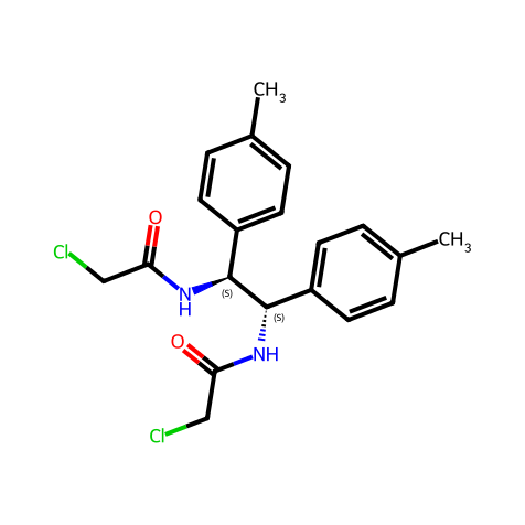 Cc1ccc([C@H](NC(=O)CCl)[C@@H](NC(=O)CCl)c2ccc(C)cc2)cc1